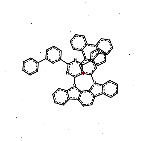 c1ccc(-c2cccc(-c3nc(-c4ccccc4)nc(-n4c5ccccc5c5ccc6c7ccccc7n(-c7ccc8c9ccccc9c9ccccc9c8c7)c6c54)n3)c2)cc1